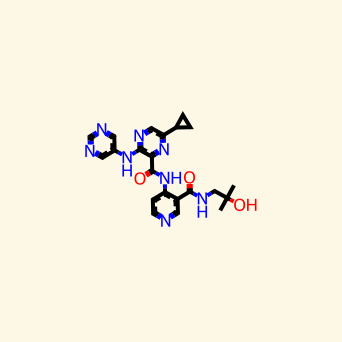 CC(C)(O)CNC(=O)c1cnccc1NC(=O)c1nc(C2CC2)cnc1Nc1cncnc1